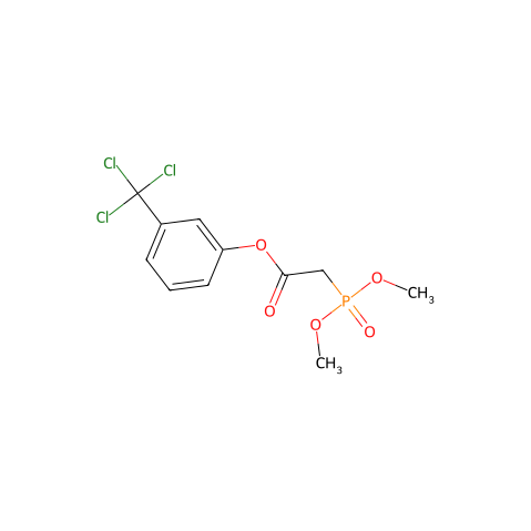 COP(=O)(CC(=O)Oc1cccc(C(Cl)(Cl)Cl)c1)OC